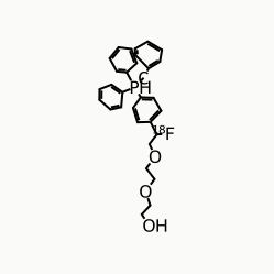 OCCOCCOCC([18F])c1ccc([PH](Cc2ccccc2)(c2ccccc2)c2ccccc2)cc1